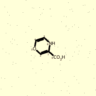 O=C(O)C1=COC=CN1